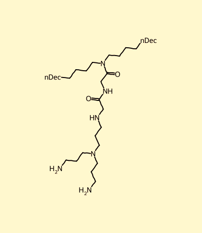 CCCCCCCCCCCCCCN(CCCCCCCCCCCCCC)C(=O)CNC(=O)CNCCCN(CCCN)CCCN